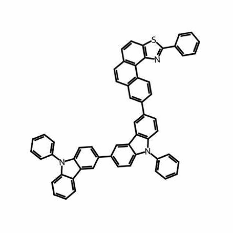 c1ccc(-c2nc3c(ccc4ccc5cc(-c6ccc7c(c6)c6cc(-c8ccc9c(c8)c8ccccc8n9-c8ccccc8)ccc6n7-c6ccccc6)ccc5c43)s2)cc1